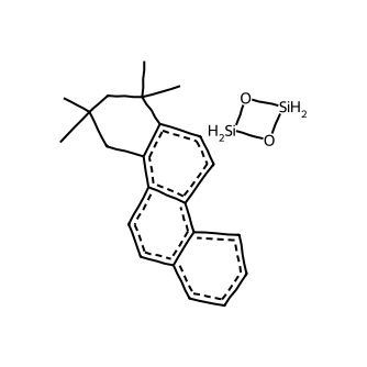 CC1(C)Cc2c(ccc3c2ccc2ccccc23)C(C)(C)C1.O1[SiH2]O[SiH2]1